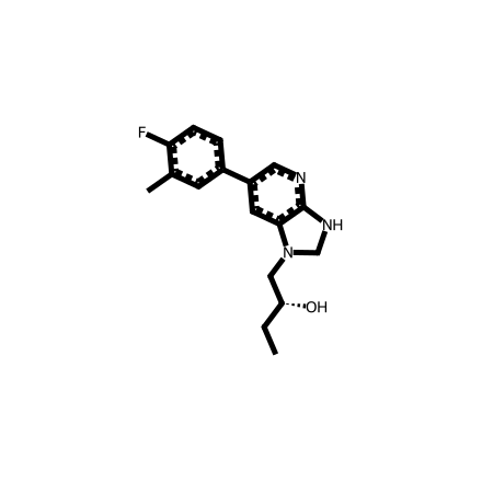 CC[C@@H](O)CN1CNc2ncc(-c3ccc(F)c(C)c3)cc21